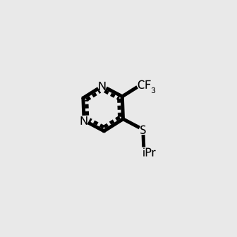 CC(C)Sc1cncnc1C(F)(F)F